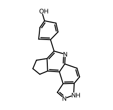 Oc1ccc(-c2nc3ccc4[nH]ncc4c3c3c2CCC3)cc1